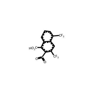 O=C(O)c1c(I(=O)=O)c(C(F)(F)F)cc2c(C(F)(F)F)cccc12